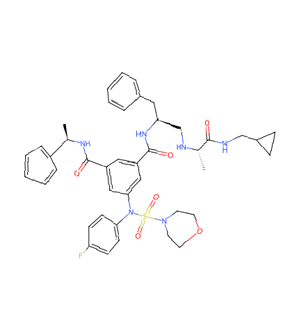 C[C@H](NC[C@H](Cc1ccccc1)NC(=O)c1cc(C(=O)N[C@H](C)c2ccccc2)cc(N(c2ccc(F)cc2)S(=O)(=O)N2CCOCC2)c1)C(=O)NCC1CC1